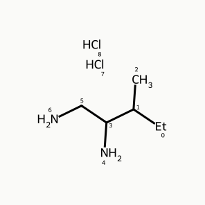 CCC(C)C(N)CN.Cl.Cl